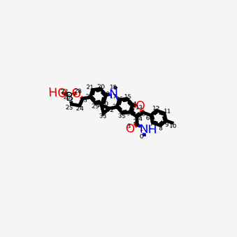 CNC(=O)c1c(-c2ccc(C)cc2)oc2cc(N(C)c3ccc(C4CCB(O)O4)cc3)c(C3CC3)cc12